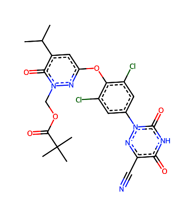 CC(C)c1cc(Oc2c(Cl)cc(-n3nc(C#N)c(=O)[nH]c3=O)cc2Cl)nn(COC(=O)C(C)(C)C)c1=O